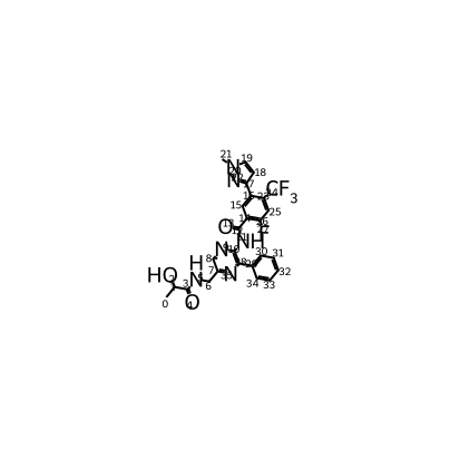 CC(O)C(=O)NCc1cnc(NC(=O)c2cc(-c3ccn(C)n3)c(C(F)(F)F)cc2F)c(-c2ccccc2)n1